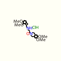 COc1cc2c(cc1OC)CCN(C(=O)CCNCC1Cc3ccc(OC)c(OC)c31)CC2.Cl